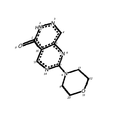 O=c1[nH]ncc2nc(N3CCOCC3)ncc12